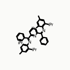 Cc1cc(C(C)C)c(N=C(c2ccccc2)c2cccc(C(=Nc3c(C(C)C)cc(C)cc3C(C)C)c3ccccc3)n2)c(C(C)C)c1